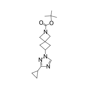 CC(C)(C)OC(=O)N1CC2(CC(n3cnc(C4CC4)n3)C2)C1